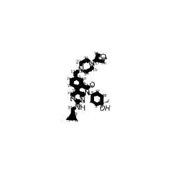 C[C@]1(O)CC[C@H](n2c(=O)c3cc(CN4CCN(C5COC5)CC4)ccc3c3cnc(NCC4CC4)nc32)CC1